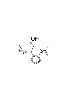 C=C(C)Sc1ccccc1C(CCO)C1=C[C@H]1C